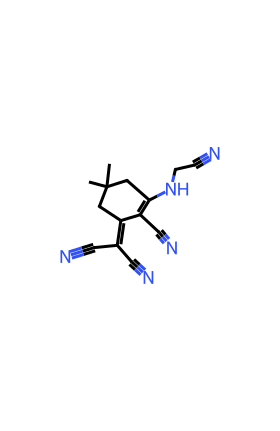 CC1(C)CC(NCC#N)=C(C#N)C(=C(C#N)C#N)C1